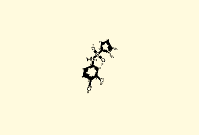 O=S(=O)(Nc1ccc(Cl)c(Cl)c1)c1cccs1